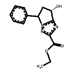 CCOC(=O)c1nc2n(n1)C(c1ccccc1)C[C@@H]2O